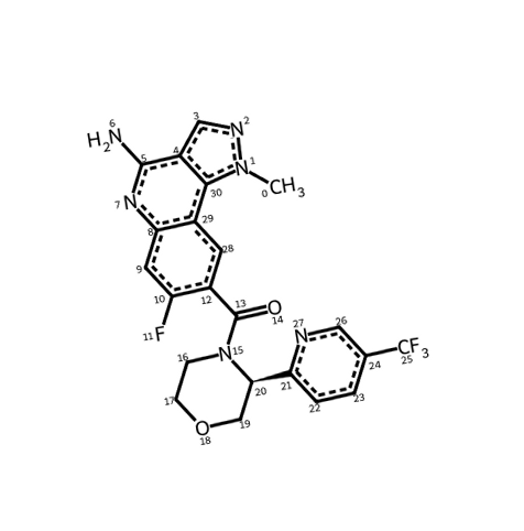 Cn1ncc2c(N)nc3cc(F)c(C(=O)N4CCOC[C@@H]4c4ccc(C(F)(F)F)cn4)cc3c21